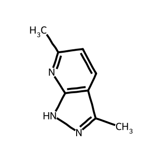 Cc1ccc2c(C)n[nH]c2n1